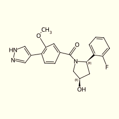 COc1cc(C(=O)N2C[C@H](O)C[C@@H]2c2ccccc2F)ccc1-c1cn[nH]c1